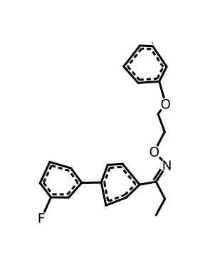 CCC(=NOCCOc1c[c]ccc1)c1ccc(-c2cccc(F)c2)cc1